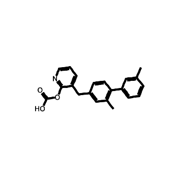 Cc1cccc(-c2ccc(Cc3cccnc3OC(=O)O)cc2C)c1